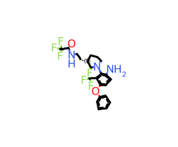 Nc1ccc(Oc2ccccc2)c(C(F)(F)F)c1N1CCC[C@@H](CCNC(=O)C(F)(F)F)C1